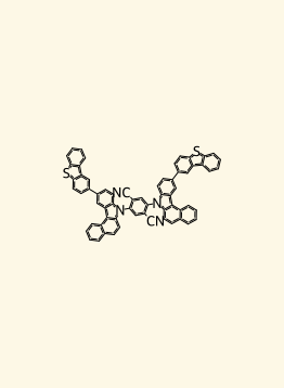 N#Cc1cc(-n2c3ccc(-c4ccc5sc6ccccc6c5c4)cc3c3c4ccccc4ccc32)c(C#N)cc1-n1c2ccc(-c3ccc4sc5ccccc5c4c3)cc2c2c3ccccc3ccc21